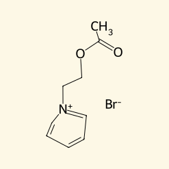 CC(=O)OCC[n+]1ccccc1.[Br-]